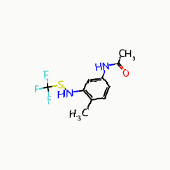 CC(=O)Nc1ccc(C)c(NSC(F)(F)F)c1